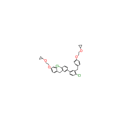 Clc1ccc(-c2ccc(Cl)c(Cc3ccc(OCCOC4CC4)cc3)c2)cc1Cc1ccc(OCCOC2CC2)cc1